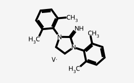 Cc1cccc(C)c1N1CCN(c2c(C)cccc2C)C1=N.[V]